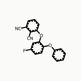 N#Cc1cccc(Oc2cc(F)ccc2Oc2ccccc2)c1C#N